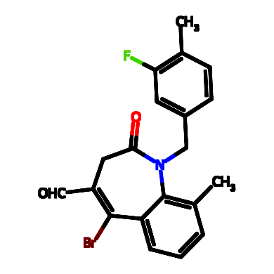 Cc1ccc(CN2C(=O)CC(C=O)=C(Br)c3cccc(C)c32)cc1F